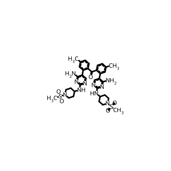 Cc1ccc(C(=O)c2ccc(C)cc2-c2cnc(NC3CCN(S(C)(=O)=O)CC3)nc2N)c(-c2cnc(NC3CCN(S(C)(=O)=O)CC3)nc2N)c1